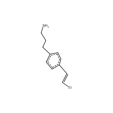 CC/C=C/c1ccc(CCC[SiH3])cc1